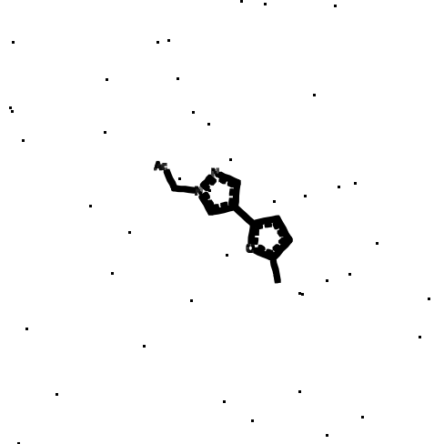 CC(=O)Cn1cc(-c2ccc(C)o2)cn1